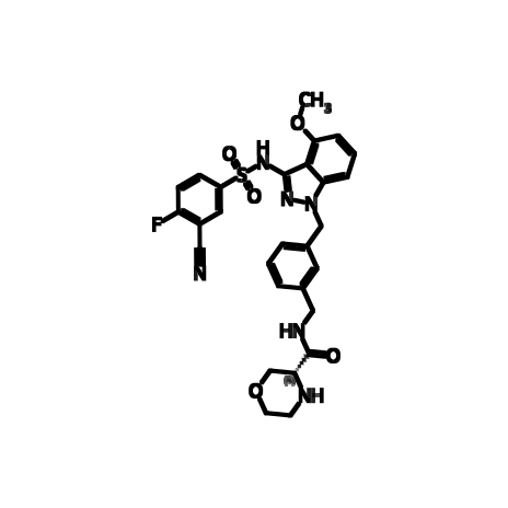 COc1cccc2c1c(NS(=O)(=O)c1ccc(F)c(C#N)c1)nn2Cc1cccc(CNC(=O)[C@H]2COCCN2)c1